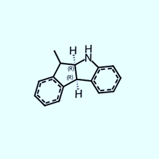 CC1c2ccccc2[C@@H]2c3ccccc3N[C@H]12